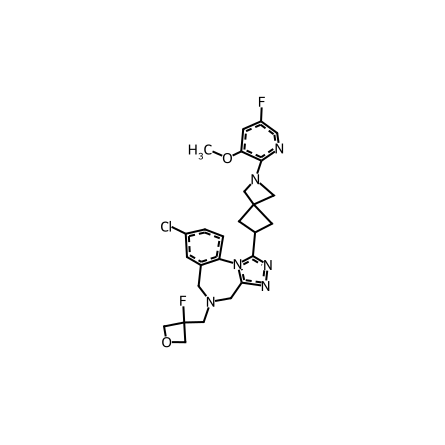 COc1cc(F)cnc1N1CC2(CC(c3nnc4n3-c3ccc(Cl)cc3CN(CC3(F)COC3)C4)C2)C1